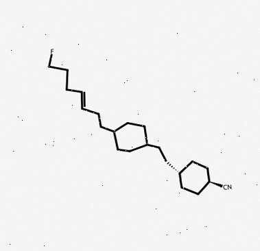 N#C[C@H]1CC[C@H](CCC2CCC(CC/C=C/CCCF)CC2)CC1